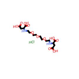 Cl.O=C(O)CC(NCCOCCOCCOCCNC(CC(=O)O)C(=O)O)C(=O)O